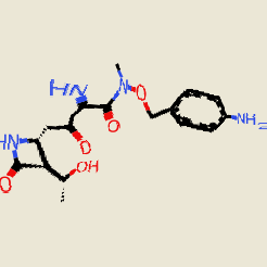 C[C@@H](O)[C@H]1C(=O)N[C@@H]1CC(=O)C(=N)C(=O)N(C)OCc1ccc(N)cc1